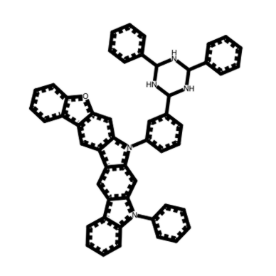 c1ccc(C2NC(c3ccccc3)NC(c3cccc(-n4c5cc6oc7ccccc7c6cc5c5cc6c7ccccc7n(-c7ccccc7)c6cc54)c3)N2)cc1